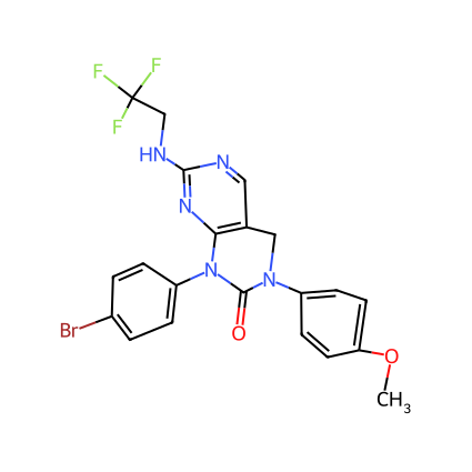 COc1ccc(N2Cc3cnc(NCC(F)(F)F)nc3N(c3ccc(Br)cc3)C2=O)cc1